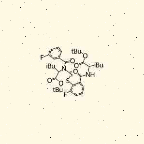 CCC(C)C(NC(=O)c1cccc(F)c1SSN(C(=O)c1cccc(F)c1)C(C(=O)OC(C)(C)C)C(C)CC)C(=O)OC(C)(C)C